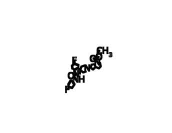 CCOC(=O)N1CCCC2CC(N3CCC4(CC3)CN(C(=O)Nc3ccc(F)cc3)c3ccc(F)cc34)CC21